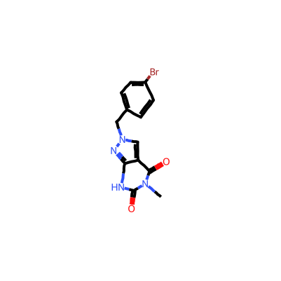 Cn1c(=O)[nH]c2nn(Cc3ccc(Br)cc3)cc2c1=O